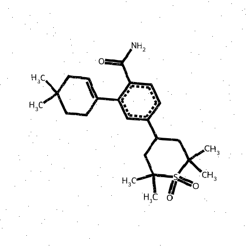 CC1(C)CC=C(c2cc(C3CC(C)(C)S(=O)(=O)C(C)(C)C3)ccc2C(N)=O)CC1